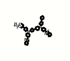 C/C=C\C(=C/C)c1ccc(N(c2ccc(-c3ccc(N(c4ccc(-c5ccccc5)cc4)c4ccc(-c5nc6ccccc6s5)cc4)cc3)cc2)c2ccc(-c3nc4ccccc4s3)cc2)cc1